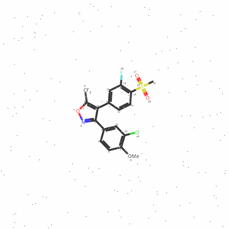 COc1ccc(-c2noc(C(F)(F)F)c2-c2ccc(S(C)(=O)=O)c(F)c2)cc1Cl